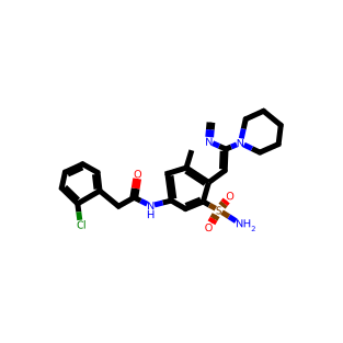 C=N/C(=C\c1c(C)cc(NC(=O)Cc2ccccc2Cl)cc1S(N)(=O)=O)N1CCCCC1